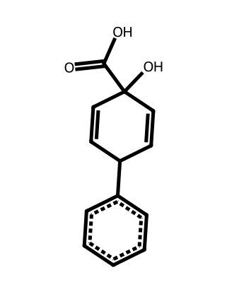 O=C(O)C1(O)C=CC(c2ccccc2)C=C1